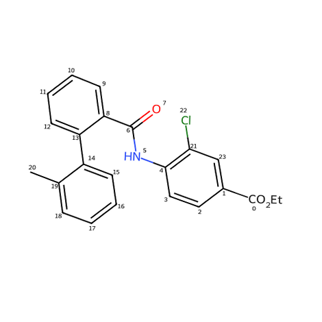 CCOC(=O)c1ccc(NC(=O)c2ccccc2-c2ccccc2C)c(Cl)c1